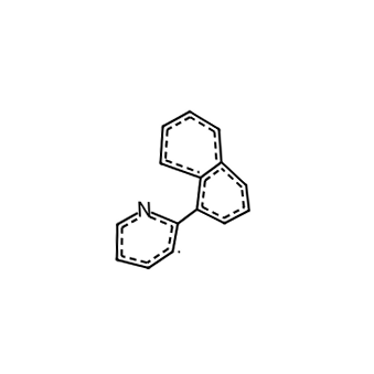 [c]1cccnc1-c1cccc2ccccc12